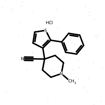 CN1CCC(C#N)(c2ccsc2-c2ccccc2)CC1.Cl